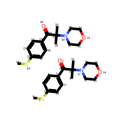 CSc1ccc(C(=O)C(C)(C)N2CCOCC2)cc1.CSc1ccc(C(=O)C(C)(C)N2CCOCC2)cc1